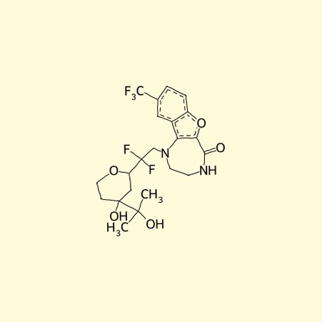 CC(C)(O)C1(O)CCOC(C(F)(F)CN2CCNC(=O)c3oc4ccc(C(F)(F)F)cc4c32)C1